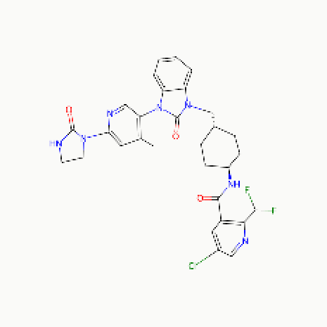 Cc1cc(N2CCNC2=O)ncc1-n1c(=O)n(C[C@H]2CC[C@H](NC(=O)c3cc(Cl)cnc3C(F)F)CC2)c2ccccc21